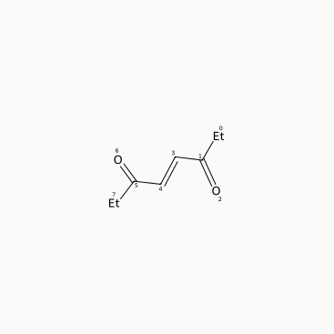 CCC(=O)C=CC(=O)CC